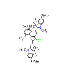 COc1ccc2c(c1)C(C)(C)C(/C=C/C1=C(Cl)C(=C/C=C3/N(C)c4ccc(OC)cc4C3(C)C)/CC1c1cc(S(=O)(=O)O)ccc1C)=[N+]2C